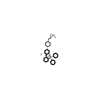 CCC[C@H]1CC[C@H](c2ccc(-c3ccccc3[P+](C)(c3ccccc3)c3ccccc3)cc2)CC1.[I-]